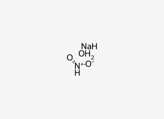 O.O=[NH+][O-].[NaH]